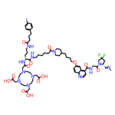 C/N=C/[C@H]1CC(F)(F)CN1C(=O)CNC(=O)c1ccnc2ccc(OCCCCC3CCN(C(=O)CCCCCNC(=O)[C@H](CCCNC(=O)CCCc4ccc(I)cc4)NC(=O)CN4CCN(CC(=O)O)CCN(CC(=O)O)CCN(CC(=O)O)CC4)CC3)cc12